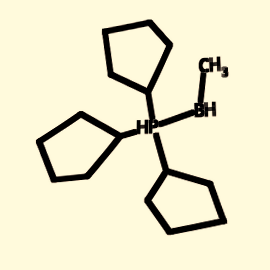 CB[PH](C1CCCC1)(C1CCCC1)C1CCCC1